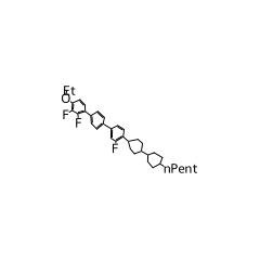 CCCCCC1CCC(C2CCC(c3ccc(-c4ccc(-c5ccc(OCC)c(F)c5F)cc4)cc3F)CC2)CC1